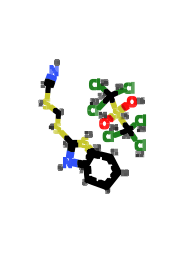 N#CSCSc1nc2ccccc2s1.O=S(=O)(C(Cl)(Cl)Cl)C(Cl)(Cl)Cl